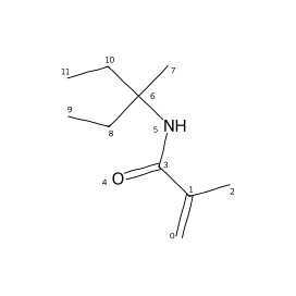 C=C(C)C(=O)NC(C)(CC)CC